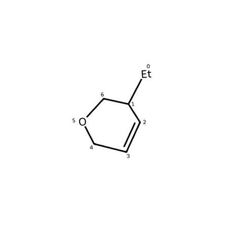 CCC1C=CCOC1